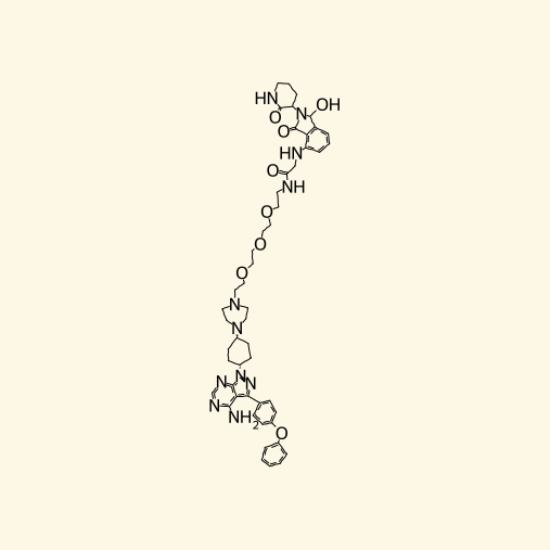 Nc1ncnc2c1c(-c1ccc(Oc3ccccc3)cc1)nn2[C@H]1CC[C@H](N2CCN(CCOCCOCCOCCNC(=O)CNc3cccc4c3C(=O)N(C3CCCNC3=O)C4O)CC2)CC1